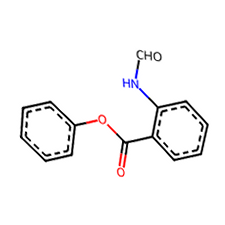 O=CNc1ccccc1C(=O)Oc1ccccc1